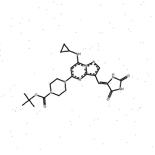 CC(C)(C)OC(=O)N1CCN(c2cc(NC3CC3)n3ncc(/C=C4\NC(=O)NC4=O)c3n2)CC1